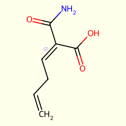 C=CC/C=C(/C(N)=O)C(=O)O